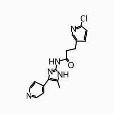 Cc1[nH]c(NC(=O)CCc2ccc(Cl)nc2)nc1-c1ccncc1